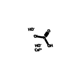 O=[N+]([O-])O.[Ca+2].[OH-].[OH-]